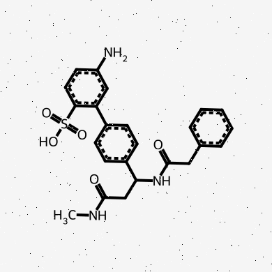 CNC(=O)CC(NC(=O)Cc1ccccc1)c1ccc(-c2cc(N)ccc2S(=O)(=O)O)cc1